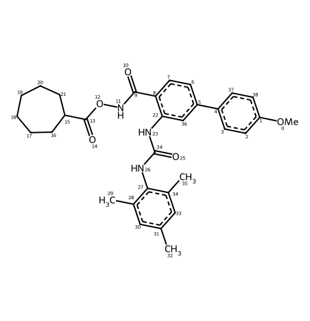 COc1ccc(-c2ccc(C(=O)NOC(=O)C3CCCCCC3)c(NC(=O)Nc3c(C)cc(C)cc3C)c2)cc1